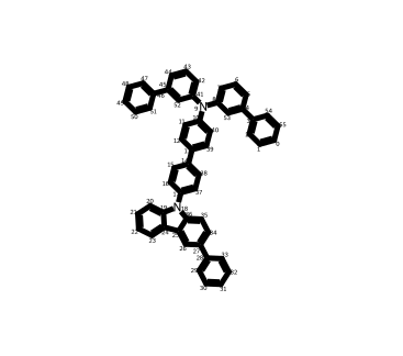 c1ccc(-c2cccc(N(c3ccc(-c4ccc(-n5c6ccccc6c6cc(-c7ccccc7)ccc65)cc4)cc3)c3cccc(-c4ccccc4)c3)c2)cc1